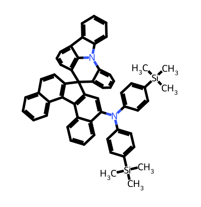 C[Si](C)(C)c1ccc(N(c2ccc([Si](C)(C)C)cc2)c2cc3c(c4ccccc24)-c2c(ccc4ccccc24)C32c3ccccc3-n3c4ccccc4c4cccc2c43)cc1